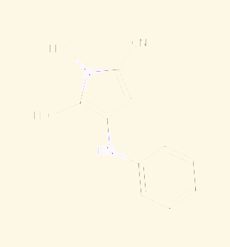 Cc1c(Nc2ccccc2)cc(C#N)n1C